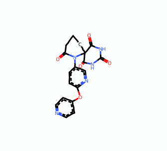 O=C1NC(=O)C2(CCCC(=O)N2c2ccc(Oc3ccncc3)nc2)C(=O)N1